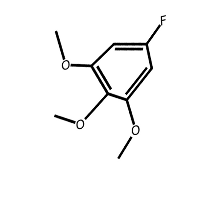 COc1cc(F)cc(OC)c1OC